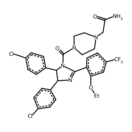 CCOc1cc(C(F)(F)F)ccc1C1=NC(c2ccc(Cl)cc2)C(c2ccc(Cl)cc2)N1C(=O)N1CCN(CC(N)=O)CC1